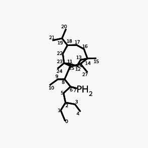 CCC(CC)CC(P)C(CC)C1CCC2(C)CCC(C(C)C)CC1(C)CC2C